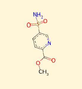 COC(=O)c1ccc(S(N)(=O)=O)cn1